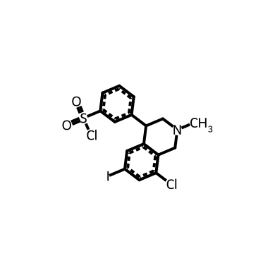 CN1Cc2c(Cl)cc(I)cc2C(c2cccc(S(=O)(=O)Cl)c2)C1